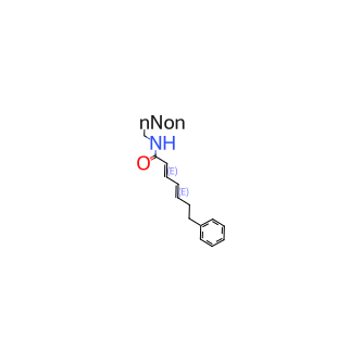 CCCCCCCCCCNC(=O)/C=C/C=C/CCc1ccccc1